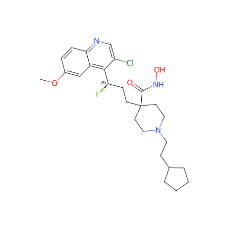 COc1ccc2ncc(Cl)c([C@H](F)CCC3(C(=O)NO)CCN(CCC4CCCC4)CC3)c2c1